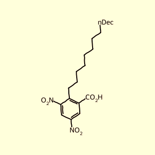 CCCCCCCCCCCCCCCCCCc1c(C(=O)O)cc([N+](=O)[O-])cc1[N+](=O)[O-]